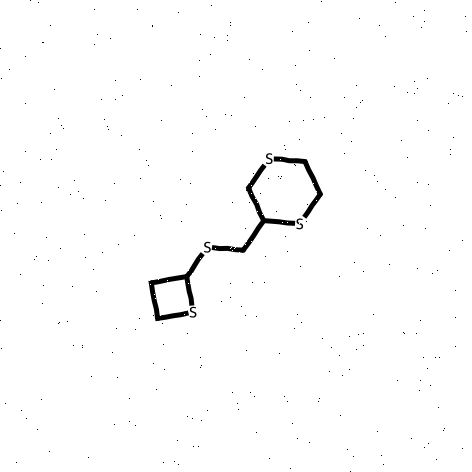 C1CSC(CSC2CCS2)CS1